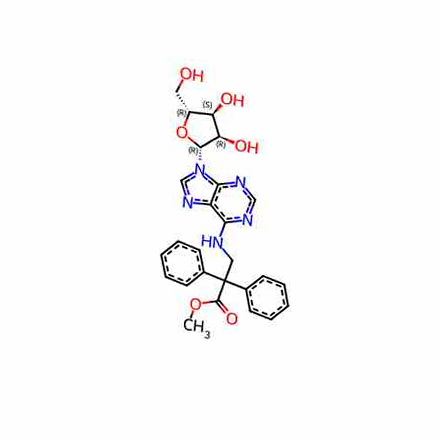 COC(=O)C(CNc1ncnc2c1ncn2[C@@H]1O[C@H](CO)[C@@H](O)[C@H]1O)(c1ccccc1)c1ccccc1